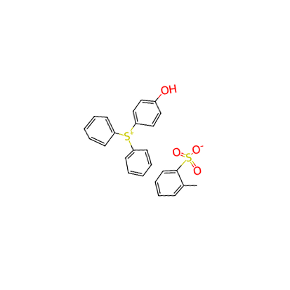 Cc1ccccc1S(=O)(=O)[O-].Oc1ccc([S+](c2ccccc2)c2ccccc2)cc1